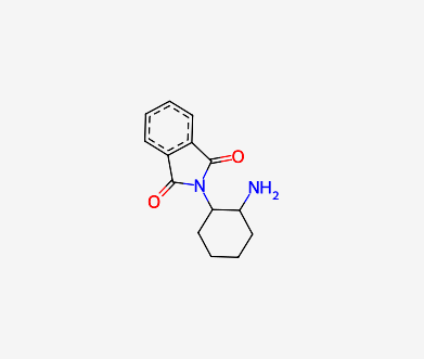 NC1CCCCC1N1C(=O)c2ccccc2C1=O